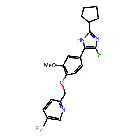 COc1cc(-c2[nH]c(C3CCCC3)nc2Cl)ccc1OCc1ccc(C(F)(F)F)cn1